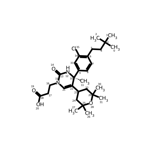 CC(C)(C)CCc1ccc([C@]2(C)NC(=O)N(CCC(=O)O)C=C2C2CC(C)(C)OC(C)(C)C2)cc1Cl